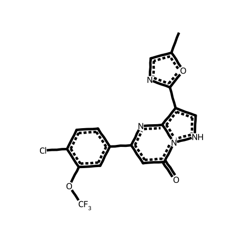 Cc1cnc(-c2c[nH]n3c(=O)cc(-c4ccc(Cl)c(OC(F)(F)F)c4)nc23)o1